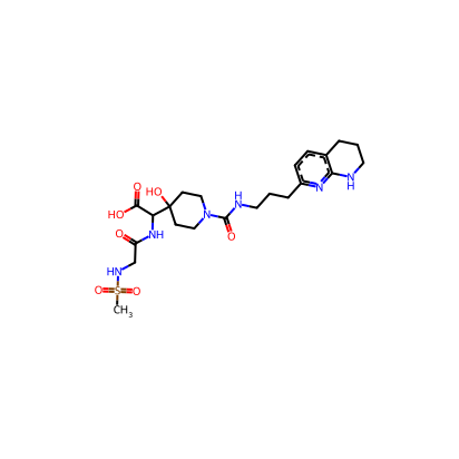 CS(=O)(=O)NCC(=O)NC(C(=O)O)C1(O)CCN(C(=O)NCCCc2ccc3c(n2)NCCC3)CC1